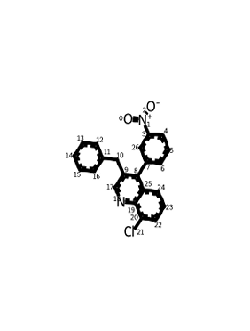 O=[N+]([O-])c1cccc(-c2c(Cc3ccccc3)cnc3c(Cl)cccc23)c1